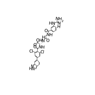 N=C(N)Nc1cccc(C(=O)NCC(=O)NC[C@H](NC(=O)c2c(Cl)cc(-c3ccc4c[nH]nc4c3)cc2Cl)C(=O)O)c1